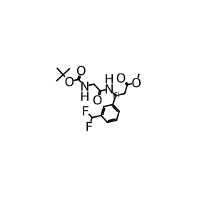 COC(=O)C[C@H](NC(=O)CNC(=O)OC(C)(C)C)c1cccc(C(F)F)c1